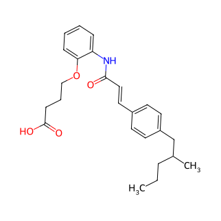 CCCC(C)Cc1ccc(C=CC(=O)Nc2ccccc2OCCCC(=O)O)cc1